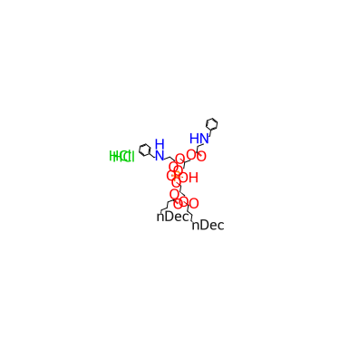 CCCCCCCCCCCCCC(=O)OC[C@H](COP(=O)(O)OCC(COC(=O)CCNCc1ccccc1)OC(=O)CCNCc1ccccc1)OC(=O)CCCCCCCCCCCCC.Cl.Cl